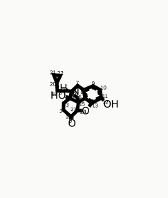 O=C1CCC2(O)[C@H]3Cc4ccc(O)c5c4C2(CCN3CC2CC2)C1O5